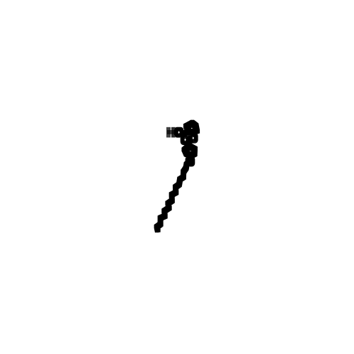 CCCCCCCCCCCCCCCCCCOc1ccc(COc2ccccc2C(=O)O)cc1